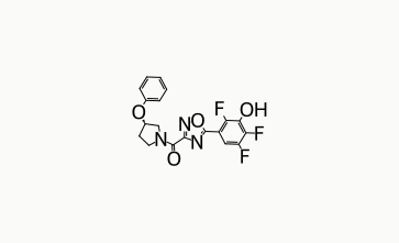 O=C(c1noc(-c2cc(F)c(F)c(O)c2F)n1)N1CC[C@@H](Oc2ccccc2)C1